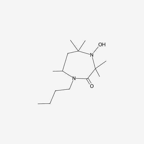 CCCCN1C(=O)C(C)(C)N(O)C(C)(C)CC1C